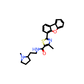 Cc1nc(-c2cccc3c2oc2ccccc23)sc1C(=O)NCCC1CCCN1C